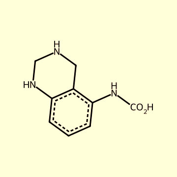 O=C(O)Nc1cccc2c1CNCN2